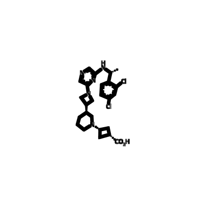 C[C@@H](Nc1cncc(N2CC([C@@H]3CCCN([C@H]4C[C@@H](C(=O)O)C4)C3)C2)n1)c1ccc(Cl)cc1Cl